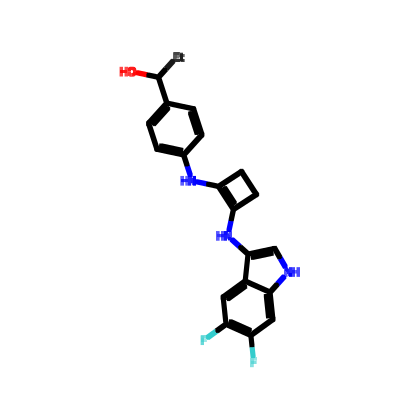 CCC(O)c1ccc(NC2=C(Nc3c[nH]c4cc(F)c(F)cc34)CC2)cc1